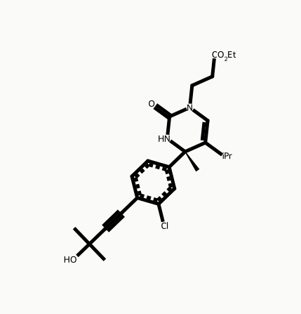 CCOC(=O)CCN1C=C(C(C)C)[C@](C)(c2ccc(C#CC(C)(C)O)c(Cl)c2)NC1=O